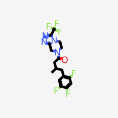 CC(CC(=O)N1CCn2c(nnc2C(F)(F)F)C1)Cc1cc(F)c(F)cc1F